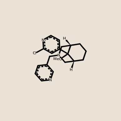 COC1(c2ccnc(Cl)c2)[C@@H]2CCC[C@H]1CN(Cc1cccnc1)C2